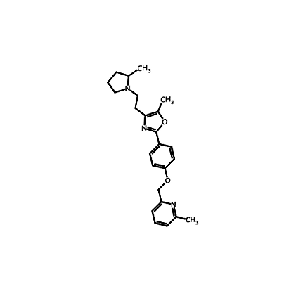 Cc1cccc(COc2ccc(-c3nc(CCN4CCCC4C)c(C)o3)cc2)n1